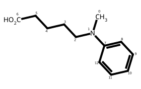 CN(CCCCC(=O)O)c1ccccc1